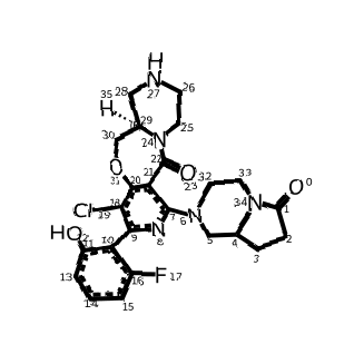 O=C1CCC2CN(c3nc(-c4c(O)cccc4F)c(Cl)c4c3C(=O)N3CCNC[C@@H]3CO4)CCN12